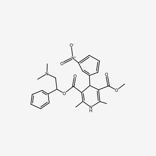 COC(=O)C1=C(C)NC(C)=C(C(=O)OC(CN(C)C)c2ccccc2)C1c1cccc([N+](=O)[O-])c1